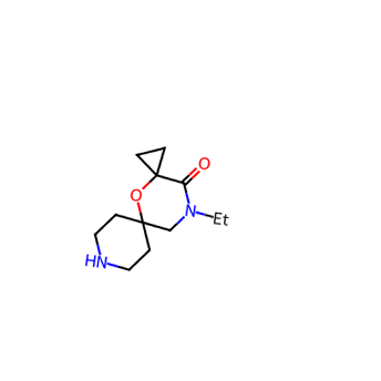 CCN1CC2(CCNCC2)OC2(CC2)C1=O